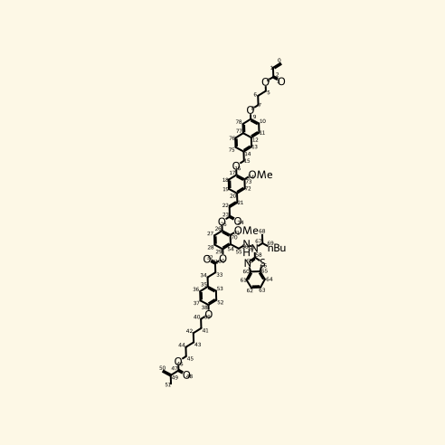 C=CC(=O)OCCCOc1ccc2cc(COc3ccc(/C=C/C(=O)Oc4ccc(OC(=O)CCc5ccc(OCCCCCCOC(=O)C(=C)C)cc5)c(CNN(c5nc6ccccc6s5)C(C)CCCC)c4OC)cc3OC)ccc2c1